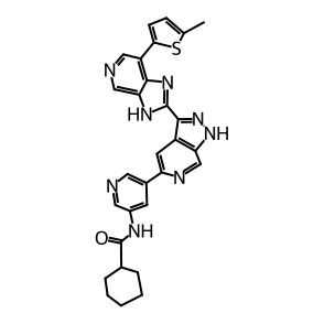 Cc1ccc(-c2cncc3[nH]c(-c4n[nH]c5cnc(-c6cncc(NC(=O)C7CCCCC7)c6)cc45)nc23)s1